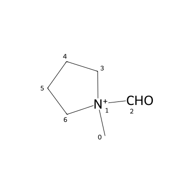 C[N+]1(C=O)CCCC1